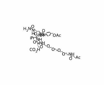 CC(=O)CCC(=O)NCCOCCOCCOCCOCCC(=O)N[C@H](CCC(=O)O)C(=O)N[C@H](C(=O)N[C@@H](CCCNC(N)=O)C(=O)Nc1ccc(COC(C)=O)cc1)C(C)C